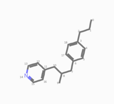 CCCc1ccc(CC(C)Cc2ccncc2)cc1